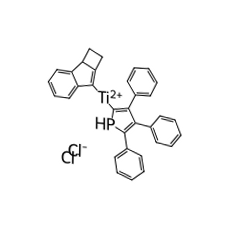 [Cl-].[Cl-].c1ccc(-c2[pH][c]([Ti+2][C]3=C4CCC4c4ccccc43)c(-c3ccccc3)c2-c2ccccc2)cc1